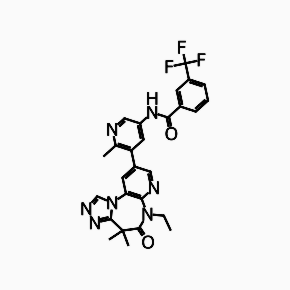 CCN1C(=O)C(C)(C)c2nncn2-c2cc(-c3cc(NC(=O)c4cccc(C(F)(F)F)c4)cnc3C)cnc21